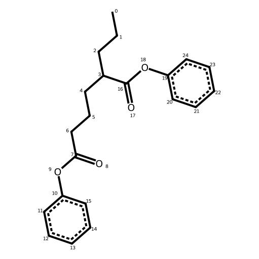 CCCC(CCCC(=O)Oc1ccccc1)C(=O)Oc1ccccc1